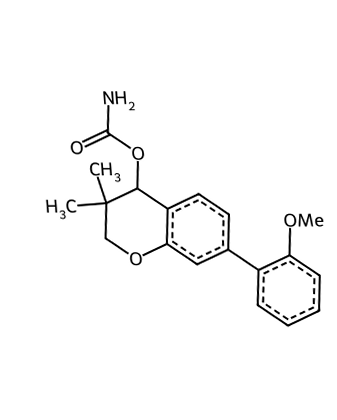 COc1ccccc1-c1ccc2c(c1)OCC(C)(C)C2OC(N)=O